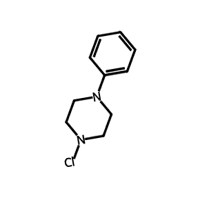 ClN1CCN(c2ccccc2)CC1